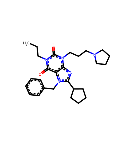 CCCn1c(=O)c2c(nc(C3CCCC3)n2Cc2ccccc2)n(CCCN2CCCC2)c1=O